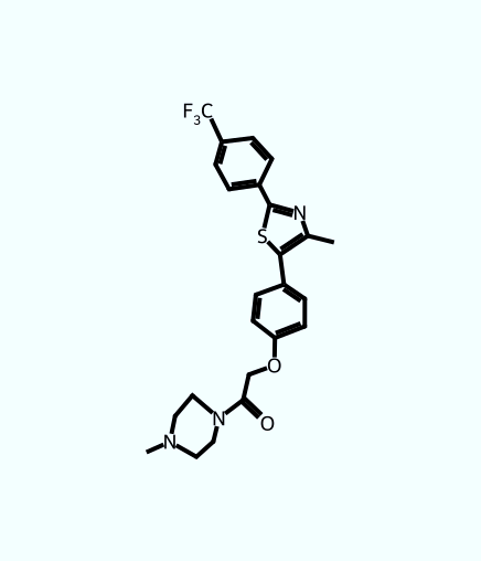 Cc1nc(-c2ccc(C(F)(F)F)cc2)sc1-c1ccc(OCC(=O)N2CCN(C)CC2)cc1